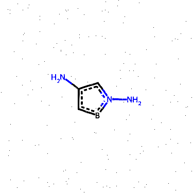 Nc1cbn(N)c1